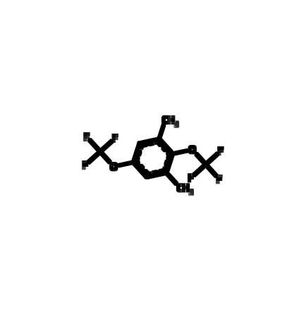 Cc1cc(OC(F)(F)F)cc(C)c1OC(F)(F)F